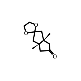 C[C@@]12CC(=O)C[C@]1(C)CC1(C2)OCCO1